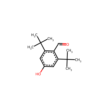 CC(C)(C)c1cc(O)cc(C(C)(C)C)c1[C]=O